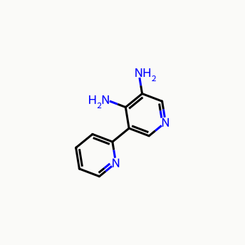 Nc1cncc(-c2ccccn2)c1N